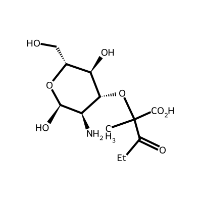 CCC(=O)C(C)(O[C@@H]1[C@@H](N)[C@@H](O)O[C@H](CO)[C@H]1O)C(=O)O